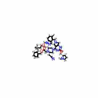 Cc1ccc2c(cnn2COCC[Si](C)(C)C)c1CN1Cc2nc(OC[C@@H]3CCCN3C)nc(N3CCN(CC(=O)OCc4ccccc4)[C@@H](CC#N)C3)c2C1